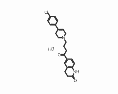 Cl.O=C1CCc2cc(C(=O)CCCN3CC=C(c4ccc(Cl)cc4)CC3)ccc2N1